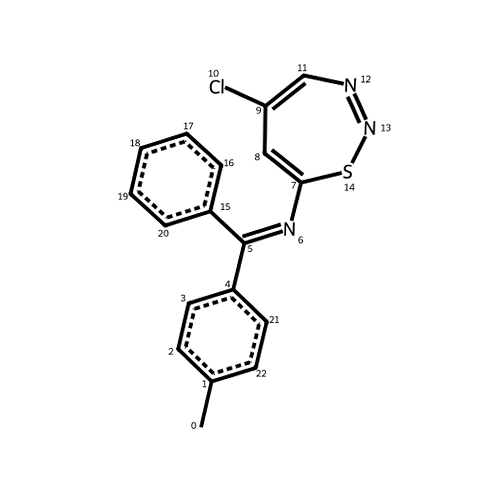 Cc1ccc(/C(=N/C2=CC(Cl)=CN=NS2)c2ccccc2)cc1